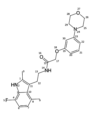 Cc1[nH]c2c(F)ccc(C)c2c1CCNC(=O)COc1cccc(N2CCOCC2)c1